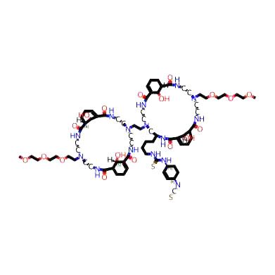 COCCOCCOCCN1CCNC(=O)C2CCC=C(C(=O)NCCN(CCN3CCNC(=O)C4=CCC[C@@H](C(=O)NCCN(CCOCCOCCOC)CCNC(=O)C5CCC=C(C(=O)NC(CCCCNC(=S)N[C@@H]6C=C[C@H](N=C=S)CC6)C3)[C@H]5O)C4O)CCNC(=O)C3=CCC[C@@H](C(=O)NCC1)C3O)[C@H]2O